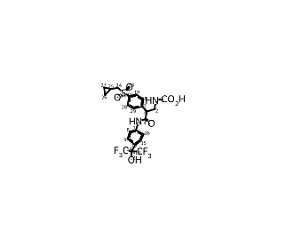 O=C(O)NCC(C(=O)Nc1ccc(C(O)(C(F)(F)F)C(F)(F)F)cc1)c1ccc(S(=O)(=O)CC2CC2)cc1